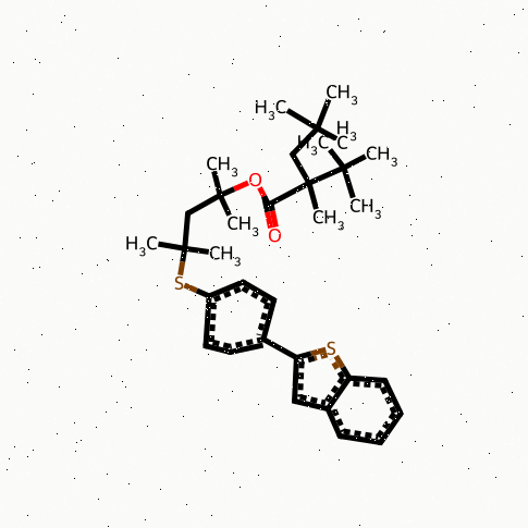 CC(C)(C)CC(C)(C(=O)OC(C)(C)CC(C)(C)Sc1ccc(-c2cc3ccccc3s2)cc1)C(C)(C)C